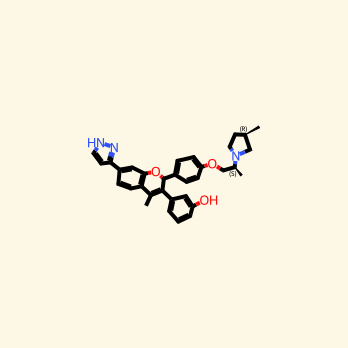 CC1=C(c2cccc(O)c2)C(c2ccc(OC[C@H](C)N3CC[C@@H](C)C3)cc2)Oc2cc(-c3cc[nH]n3)ccc21